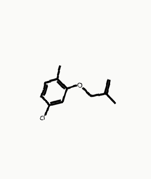 C=C(C)COc1cc(Cl)ccc1C